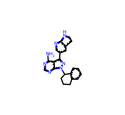 Nc1ncnc2c1c(-c1cnc3[nH]ccc3c1)nn2C1CCCc2ccccc21